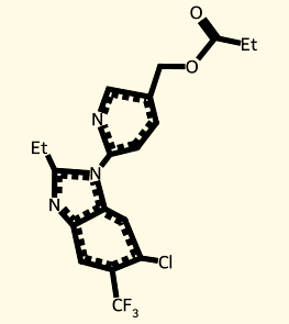 CCC(=O)OCc1ccc(-n2c(CC)nc3cc(C(F)(F)F)c(Cl)cc32)nc1